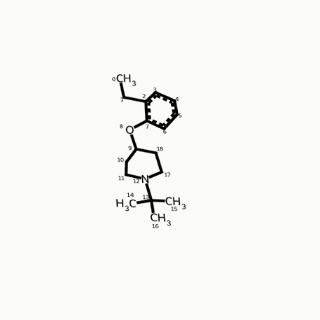 CCc1ccccc1OC1CCN(C(C)(C)C)CC1